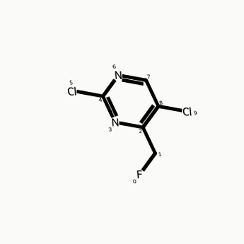 FCc1nc(Cl)ncc1Cl